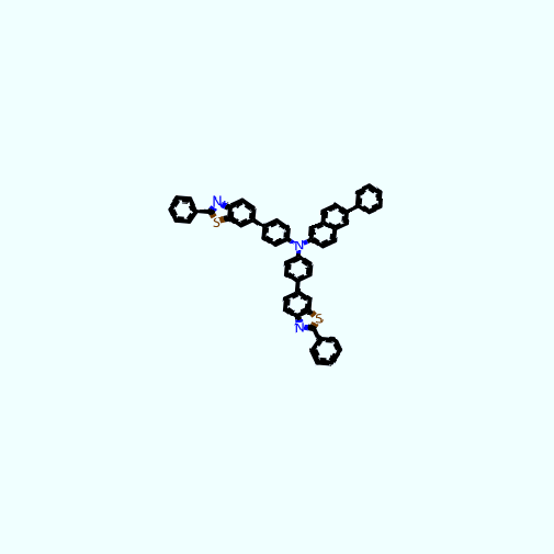 c1ccc(-c2ccc3cc(N(c4ccc(-c5ccc6nc(-c7ccccc7)sc6c5)cc4)c4ccc(-c5ccc6nc(-c7ccccc7)sc6c5)cc4)ccc3c2)cc1